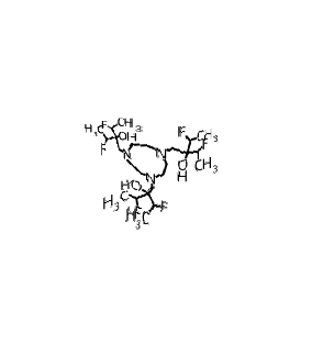 CC(F)C(O)(CN1CCN(CC(O)(C(C)F)C(C)F)CCN(CC(O)(C(C)F)C(C)F)CC1)C(C)F